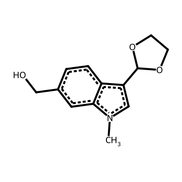 Cn1cc(C2OCCO2)c2ccc(CO)cc21